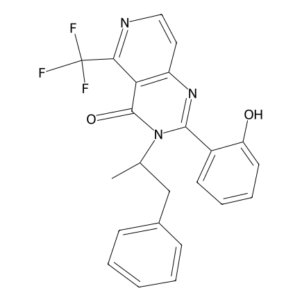 CC(Cc1ccccc1)n1c(-c2ccccc2O)nc2ccnc(C(F)(F)F)c2c1=O